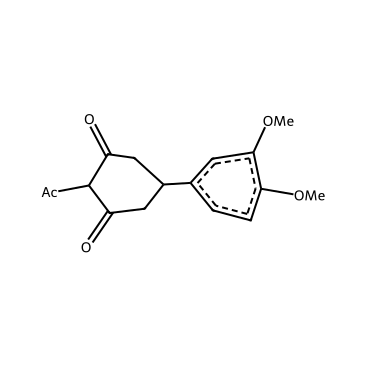 COc1ccc(C2CC(=O)C(C(C)=O)C(=O)C2)cc1OC